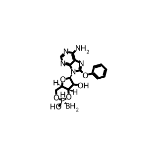 B[PH]1(O)OC[C@H]2O[C@@H](n3c(Oc4ccccc4)nc4c(N)ncnc43)C(O)[C@@H]2O1